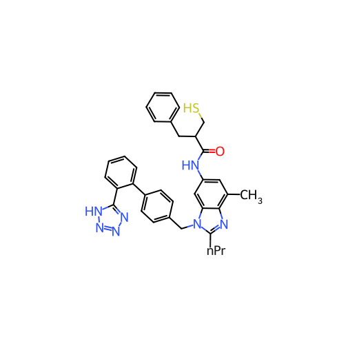 CCCc1nc2c(C)cc(NC(=O)C(CS)Cc3ccccc3)cc2n1Cc1ccc(-c2ccccc2-c2nnn[nH]2)cc1